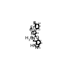 CCOc1nc(C(=O)N(C)Cc2cccc3cn[nH]c23)cn1-c1cccc(F)c1